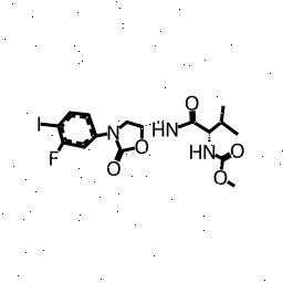 COC(=O)N[C@H](C(=O)NC[C@H]1CN(c2ccc(I)c(F)c2)C(=O)O1)C(C)C